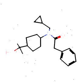 O=C(Cc1ccccc1)N(CC1CC1)C1CCC(C(O)(C(F)(F)F)C(F)(F)F)CC1